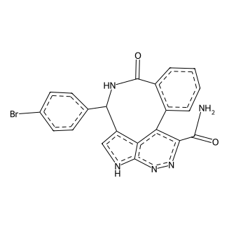 NC(=O)c1nnc2[nH]cc3c2c1-c1ccccc1C(=O)NC3c1ccc(Br)cc1